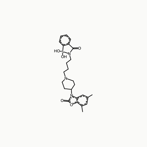 Cc1cc(C)c2oc(=O)n(C3CCN(CCCCN4C(=O)c5ccccc5S4(O)O)CC3)c2c1